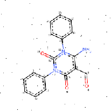 Nc1c(C=O)c(=O)n(-c2ccccc2)c(=O)n1-c1ccccc1